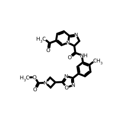 COC(=O)N1CC(c2nc(-c3ccc(C)c(NC(=O)C4CN=C5C=CC(C(C)=O)=CN54)c3)no2)C1